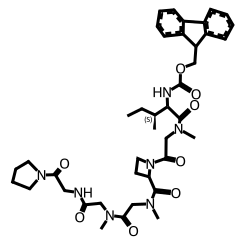 CC[C@H](C)C(NC(=O)OCC1c2ccccc2-c2ccccc21)C(=O)N(C)CC(=O)N1CCC1C(=O)N(C)CC(=O)N(C)CC(=O)NCC(=O)N1CCCC1